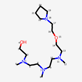 CN(CCO)CCN(C)CCN(C)CCOCCN1CCCC1